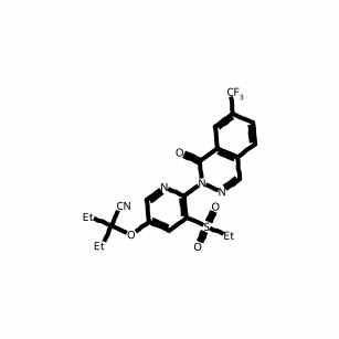 CCC(C#N)(CC)Oc1cnc(-n2ncc3ccc(C(F)(F)F)cc3c2=O)c(S(=O)(=O)CC)c1